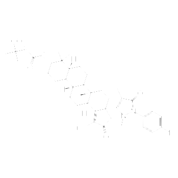 Cc1c([C@@]23CC[C@]4(C)[C@H](CC[C@@H]5[C@@]6(C)CC[C@H](OC(=O)CC(C)(C)C(=O)O)C(C)(C)[C@@H]6CC[C@]54C)C2=C(C(C)C)C(=O)C3)n(C)n(-c2ccc(F)cc2)c1=O